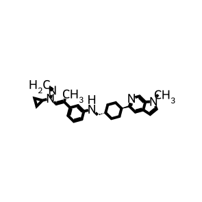 C=NN(/C=C(\C)c1cccc(NC[C@H]2CC[C@H](c3cc4ccn(C)c4cn3)CC2)c1)C1CC1